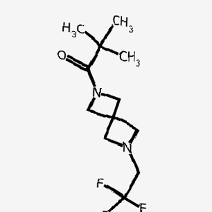 CC(C)(C)C(=O)N1CC2(CN(CC(F)(F)F)C2)C1